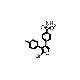 Cc1ccc(-c2c(-c3ccc(S(N)(=O)=O)cc3)coc2Br)cc1